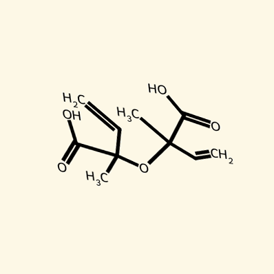 C=CC(C)(OC(C)(C=C)C(=O)O)C(=O)O